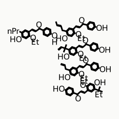 C/C=C/Cc1cc(/C=C/C(=O)c2ccc(O)cc2)c(OCC)cc1O.C=CC(C)(C)c1cc(/C=C/C(=O)c2ccc(O)cc2)c(OCC)cc1O.C=CCc1cc(/C=C/C(=O)c2ccc(O)cc2)c(OCC)cc1O.CCCc1cc(/C=C/C(=O)c2ccc(O)cc2)c(OCC)cc1O.CCOc1cc(O)c(C(C)(C)CC)cc1/C=C/C(=O)c1ccc(O)cc1